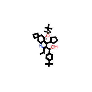 CC(C)c1nc2c(c(C3=CCCC3)c1C(O)c1ccc(C(C)(C)C)cc1)[C@H](O[Si](C)(C)C(C)(C)C)CC1(CCC1)C2